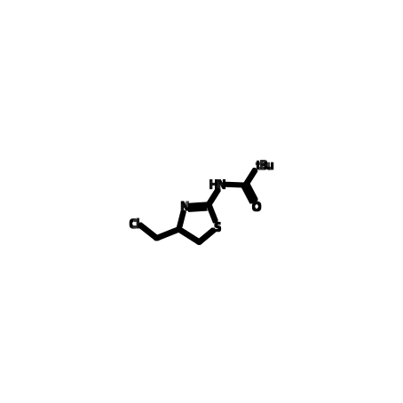 CC(C)(C)C(=O)NC1=NC(CCl)CS1